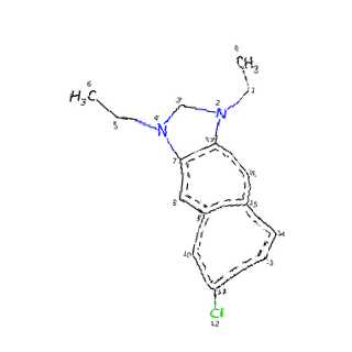 CCN1CN(CC)c2cc3cc(Cl)ccc3cc21